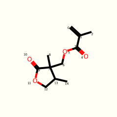 C=C(C)C(=O)OCC1(C)C(=O)OCC1C